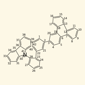 c1cc(-c2ccc3c4ccccc4c4ccccc4c3c2)cc(-c2ccccc2-n2c3ccccc3c3ccccc32)c1